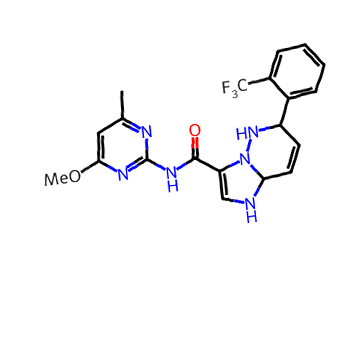 COc1cc(C)nc(NC(=O)C2=CNC3C=CC(c4ccccc4C(F)(F)F)NN23)n1